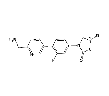 CC[C@H]1CN(c2ccc(-c3ccc(CN)nc3)c(F)c2)C(=O)O1